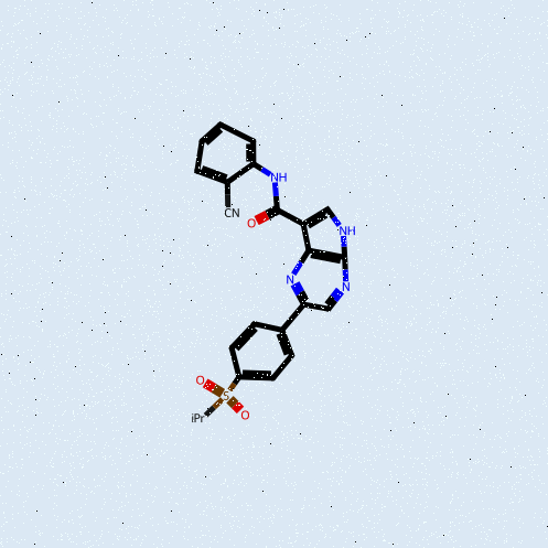 CC(C)S(=O)(=O)c1ccc(-c2cnc3[nH]cc(C(=O)Nc4ccccc4C#N)c3n2)cc1